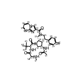 CN[C@@H](C)C(=O)N[C@H](C(=O)N1C[C@@H](NC(C)=O)C[C@H]1CN(CCc1ccc(F)cc1)C(=O)c1cn2cccnc2n1)C(C)(C)C